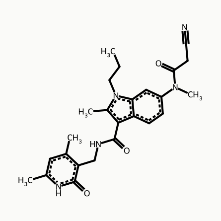 CCCn1c(C)c(C(=O)NCc2c(C)cc(C)[nH]c2=O)c2ccc(N(C)C(=O)CC#N)cc21